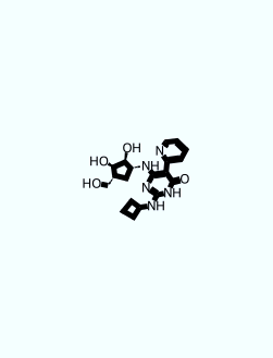 O=c1[nH]c(NC2CCC2)nc(N[C@@H]2C[C@H](CO)[C@@H](O)[C@H]2O)c1-c1ccccn1